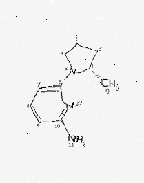 C[C@H]1CCCN1c1cccc(N)n1